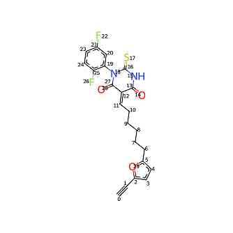 C#Cc1ccc(CCCCC/C=C2\C(=O)NC(=S)N(c3cc(F)ccc3F)C2=O)o1